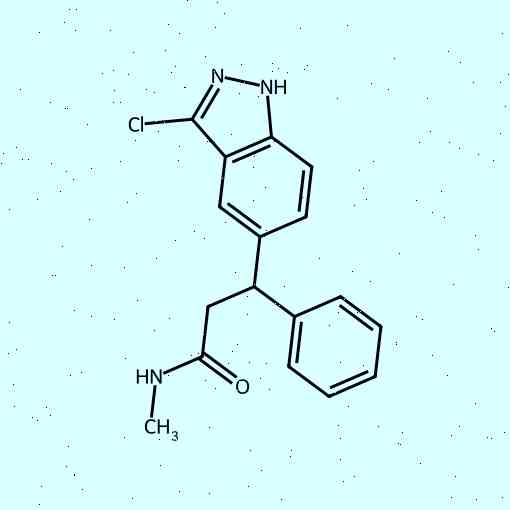 CNC(=O)CC(c1ccccc1)c1ccc2[nH]nc(Cl)c2c1